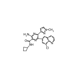 Cn1ccc(-c2nc(N)c(C(=O)NC3CCC3)nc2-c2cc(Cl)c3ncccc3c2)n1